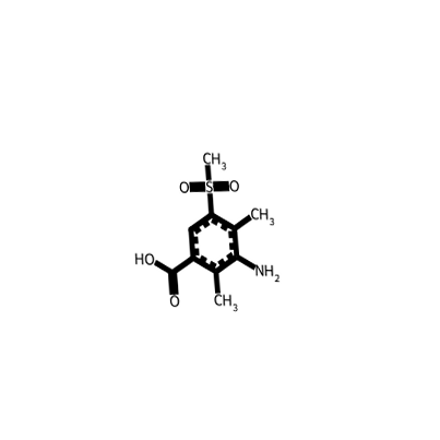 Cc1c(C(=O)O)cc(S(C)(=O)=O)c(C)c1N